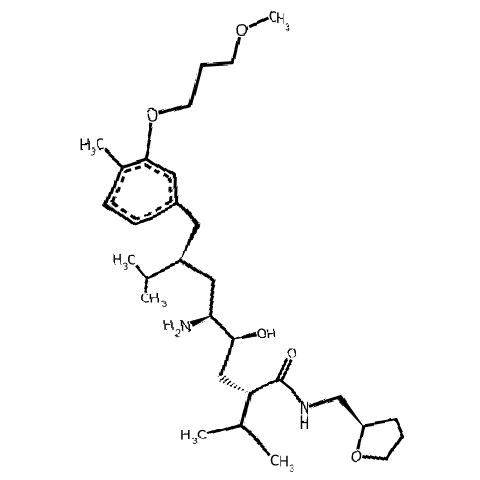 COCCCOc1cc(C[C@@H](C[C@H](N)[C@@H](O)C[C@H](C(=O)NC[C@H]2CCCO2)C(C)C)C(C)C)ccc1C